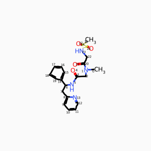 CN(CC(=O)NC(Cc1ccccn1)c1ccccc1)C(=O)CNS(C)(=O)=O